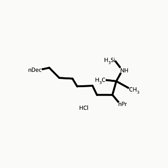 CCCCCCCCCCCCCCCCC(CCC)C(C)(C)N[SiH3].Cl